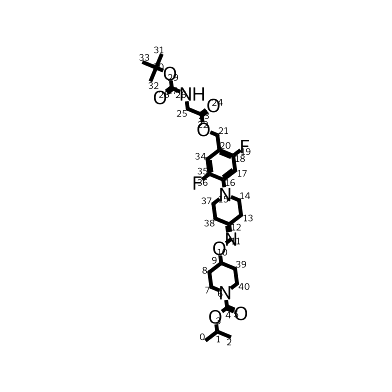 CC(C)OC(=O)N1CCC(ON=C2CCN(c3cc(F)c(COC(=O)CNC(=O)OC(C)(C)C)cc3F)CC2)CC1